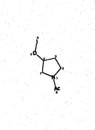 CC(=O)N1CCC(OI)C1